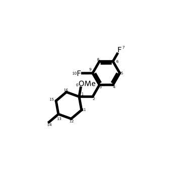 COC1(Cc2ccc(F)cc2F)CCC(C)CC1